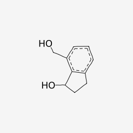 OCc1cccc2c1C(O)CC2